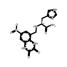 NC(=O)[C@H](Cc1c[nH]cn1)NCc1cc([N+](=O)[O-])cc2[nH]c(=O)c(=O)[nH]c12